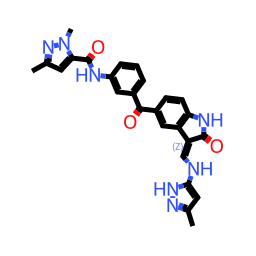 Cc1cc(N/C=C2\C(=O)Nc3ccc(C(=O)c4cccc(NC(=O)c5cc(C)nn5C)c4)cc32)[nH]n1